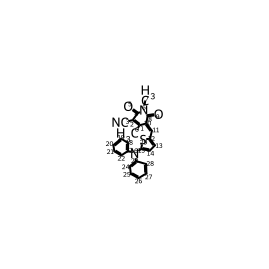 CC1=C(C#N)C(=O)N(C)C(=O)/C1=C/c1ccc(N(c2ccccc2)c2ccccc2)s1